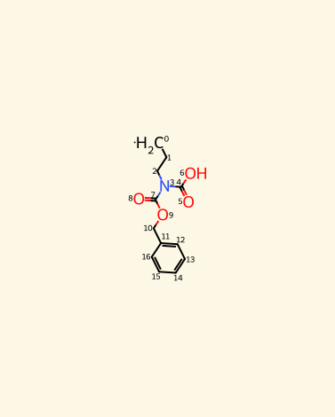 [CH2]CCN(C(=O)O)C(=O)OCc1ccccc1